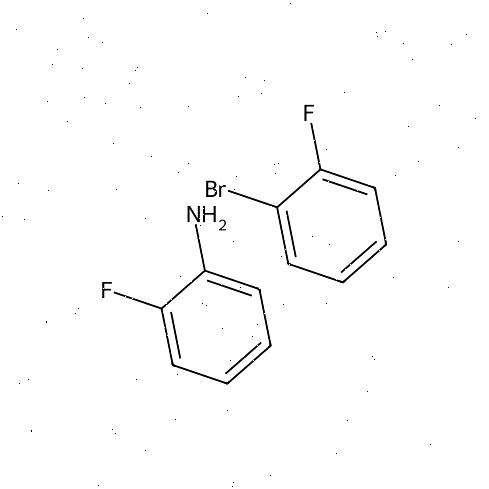 Fc1ccccc1Br.Nc1ccccc1F